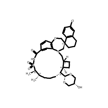 C[C@@H]1[C@@H](C)CCC[C@@H]([C@H]2OC[C@@H](O)CO2)[C@@H]2CC[C@H]2CN2C[C@@]3(CCCc4cc(Cl)ccc43)COc3ccc(cc32)C(=O)NS1(=O)=O